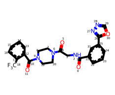 O=C(NCC(=O)N1CCN(C(=O)c2ccccc2C(F)(F)F)CC1)c1cccc(-c2nnco2)c1